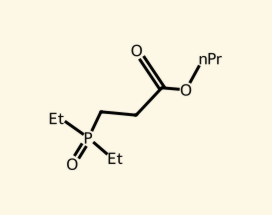 CCCOC(=O)CCP(=O)(CC)CC